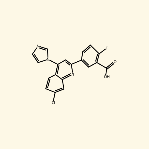 O=C(O)c1cc(-c2cc(-n3ccnc3)c3ccc(Cl)cc3n2)ccc1F